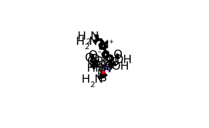 C[n+]1cc(-c2ccc3c(c2)CC[C@H](C(C)(O/N=C(\C(=O)N[C@@H]2C(=O)N(OS(=O)(=O)[O-])C2(C)C)c2csc(N)n2)C(=O)O)O3)ccc1CC(CN)CN.O=CO